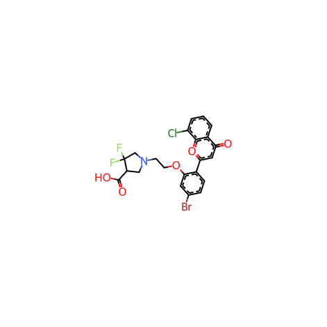 O=C(O)C1CN(CCOc2cc(Br)ccc2-c2cc(=O)c3cccc(Cl)c3o2)CC1(F)F